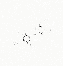 COC(=O)[C@H](COc1cc(OC)c(OC)cc1N)NC(=O)OC(C)(C)C